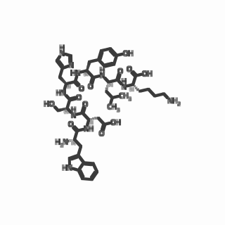 CC(C)C[C@H](NC(=O)[C@H](Cc1ccc(O)cc1)NC(=O)[C@H](Cc1c[nH]cn1)NC(=O)[C@H](CO)NC(=O)[C@H](CC(=O)O)NC(=O)[C@@H](N)Cc1c[nH]c2ccccc12)C(=O)N[C@@H](CCCCN)C(=O)O